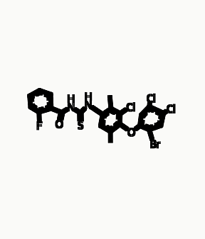 Cc1cc(NC(=S)NC(=O)c2ccccc2F)c(C)c(Cl)c1Oc1cc(Cl)c(Cl)cc1Br